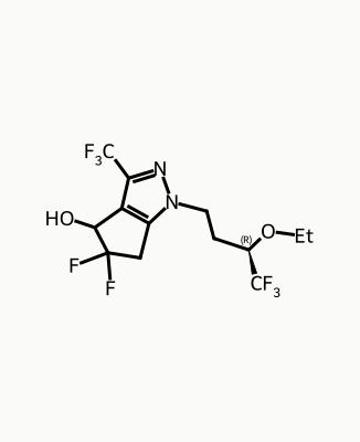 CCO[C@H](CCn1nc(C(F)(F)F)c2c1CC(F)(F)C2O)C(F)(F)F